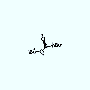 [CH2]CC[CH]C(=O)OC(C)CC